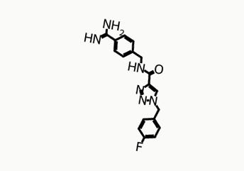 N=C(N)c1ccc(CNC(=O)c2cn(Cc3ccc(F)cc3)nn2)cc1